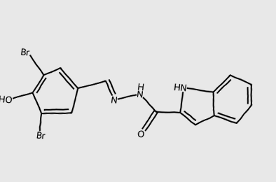 O=C(NN=Cc1cc(Br)c(O)c(Br)c1)c1cc2ccccc2[nH]1